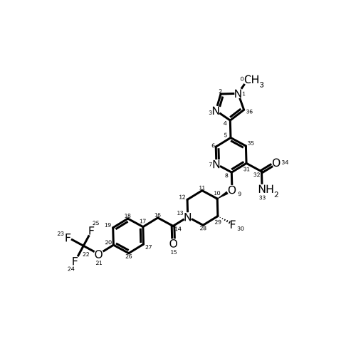 Cn1cnc(-c2cnc(O[C@@H]3CCN(C(=O)Cc4ccc(OC(F)(F)F)cc4)C[C@H]3F)c(C(N)=O)c2)c1